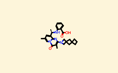 Cc1cc([C@@H](C)Nc2ccccc2C(=O)O)c2nc(N3CC4(C3)CC3(CCC3)C4)c(C)c(=O)n2c1